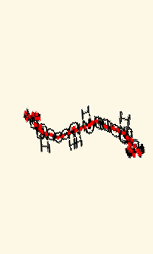 O=C(NCCCCNC(=O)NCCOCCOCCOCCNS(=O)(=O)c1ccc(O[C@H]2c3ccccc3C[C@@H]2N2CCCCC2)cc1)NCCOCCOCCOCCNS(=O)(=O)c1ccc(O[C@H]2c3ccccc3CC2N2CCCCC2)cc1